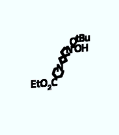 CCOC(=O)C1CCN(C2CC3(CCN(C(O)OC(C)(C)C)C3)C2)CC1